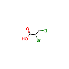 O=C(O)C(Br)CCl